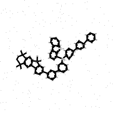 CC1(C)CCC(C)(C)c2cc3c(cc21)-c1ccc(-c2cccc(-c4cccc(N(c5ccc(-c6ccc(-c7ccccc7)cc6)cc5)c5cccc6c5sc5ccccc56)c4)c2)cc1C3(C)C